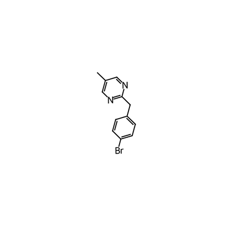 Cc1cnc(Cc2ccc(Br)cc2)nc1